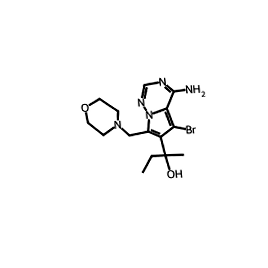 CCC(C)(O)c1c(Br)c2c(N)ncnn2c1CN1CCOCC1